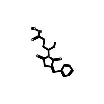 CCC(CCC(=O)NO)N1C(=O)CC(=Cc2ccccc2)C1=O